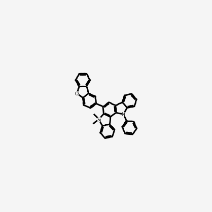 C[Si]1(C)c2ccccc2-c2c1c(-c1ccc3oc4ccccc4c3c1)cc1c3ccccc3n(-c3ccccc3)c21